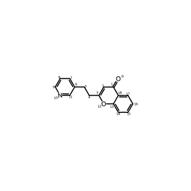 O=c1cc(CCc2cccnc2)oc2ccccc12